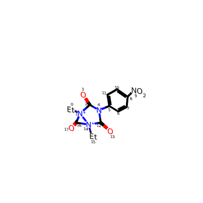 CC[N+]12C(=O)N(c3ccc([N+](=O)[O-])cc3)C(=O)[N+]1(CC)C2=O